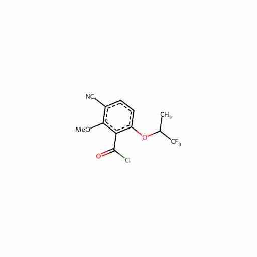 COc1c(C#N)ccc(OC(C)C(F)(F)F)c1C(=O)Cl